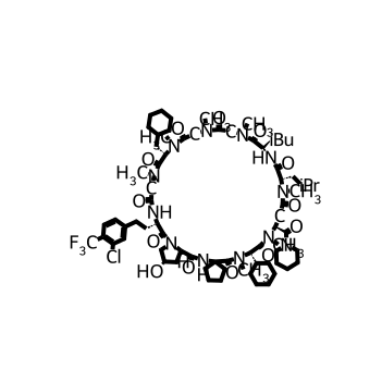 CC[C@H](C)[C@@H]1NC(=O)[C@H](CC(C)C)N(C)C(=O)C[C@@H](C(=O)N2CCCCC2)N(C)C(=O)[C@H](C2CCCCC2)N(C)C(=O)C2(CCCC2)NC(=O)[C@@H]2C[C@@H](O)CN2C(=O)[C@H](CCc2ccc(C(F)(F)F)c(Cl)c2)NC(=O)CN(C)C(=O)[C@H](CC2CCCCC2)N(C)C(=O)CN(C)C(=O)CN(C)C1=O